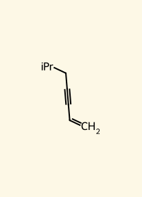 C=CC#CCC(C)C